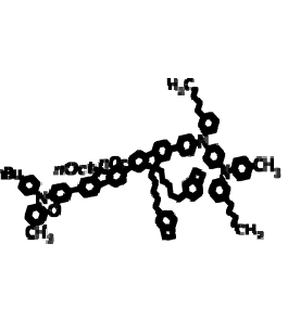 C=CCCCc1cccc(N(c2ccc(C)cc2)c2ccc(N(c3ccc(-c4ccc5c(c4)C(CCCCCc4ccc6c(c4)CC6)(CCCCCc4ccc6c(c4)CC6)c4cc(-c6ccc7c(c6)C(CCCCCCCC)(CCCCCCCC)c6cc(-c8ccc9c(c8)Oc8cc(C)ccc8N9c8ccc(CCCC)cc8)ccc6-7)ccc4-5)cc3)c3cccc(CCCC=C)c3)cc2)c1